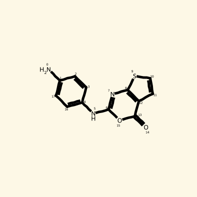 Nc1ccc(Nc2nc3sccc3c(=O)o2)cc1